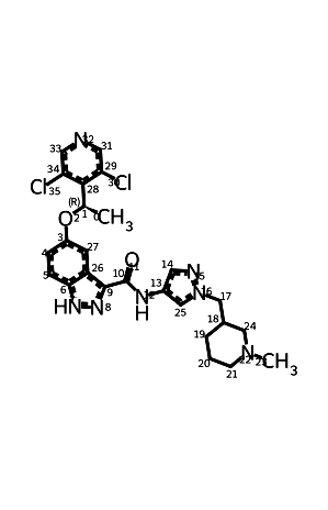 C[C@@H](Oc1ccc2[nH]nc(C(=O)Nc3cnn(CC4CCCN(C)C4)c3)c2c1)c1c(Cl)cncc1Cl